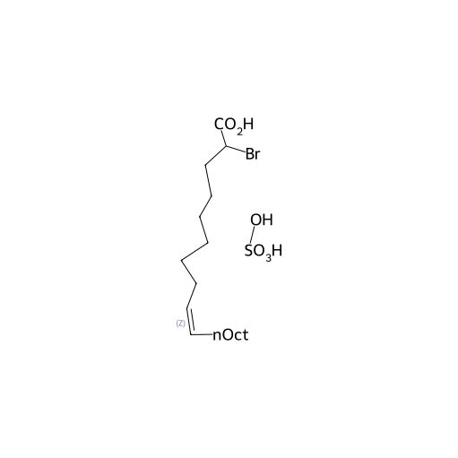 CCCCCCCC/C=C\CCCCCCC(Br)C(=O)O.O=S(=O)(O)O